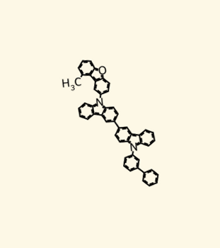 Cc1cccc2oc3ccc(-n4c5ccccc5c5cc(-c6ccc7c(c6)c6ccccc6n7-c6cccc(-c7ccccc7)c6)ccc54)cc3c12